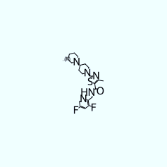 Cc1nc(N2CCC(N3CCC[C@@H](C)C3)CC2)sc1C(=O)NCc1ncc(F)cc1F